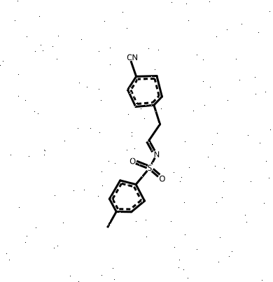 Cc1ccc(S(=O)(=O)N=CCc2ccc(C#N)cc2)cc1